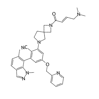 Cc1ccc2cnn(C)c2c1-c1cc(OCc2ccccn2)cc(N2CCC3(CN(C(=O)/C=C/CN(C)C)C3)C2)c1C#N